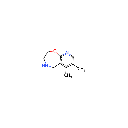 Cc1cnc2c(c1C)CNCCO2